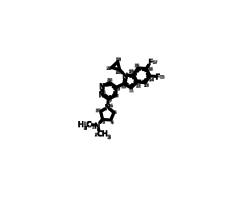 CN(C)C1CCN(c2cc(-c3cc4cc(F)c(F)cc4n3C3CC3)cnn2)C1